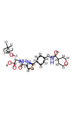 COC(=O)[C@H](CO[Si](C)(C)C(C)(C)C)NC(=O)c1csc(-c2ccc(CNC(=O)C3CCOCC3)cc2)n1